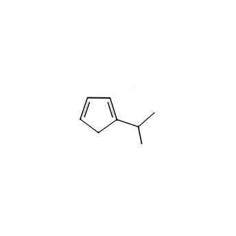 CCC(C)C1=CC=CC1.[La]